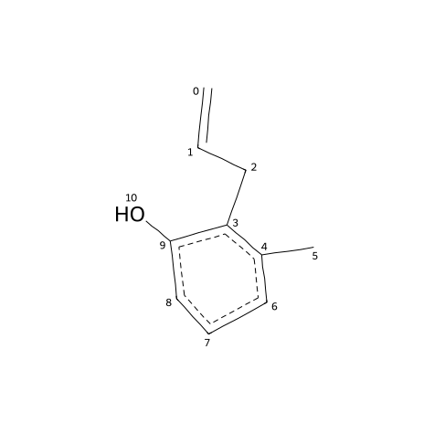 C=CCc1c(C)cccc1O